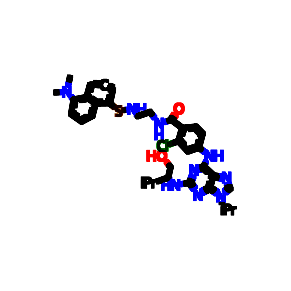 CC(C)C(CO)Nc1nc(Nc2ccc(C(=O)NCCNSc3cccc4c(N(C)C)cccc34)c(Cl)c2)c2ncn(C(C)C)c2n1